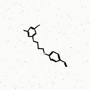 C=Cc1ccc(OCCCCc2cc(C)cc(C)c2)cc1